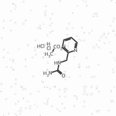 CC(=O)O.Cl.Cl.NC(=O)NCc1ccccn1